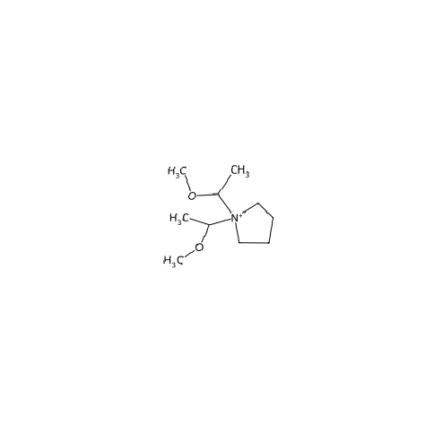 COC(C)[N+]1(C(C)OC)CCCC1